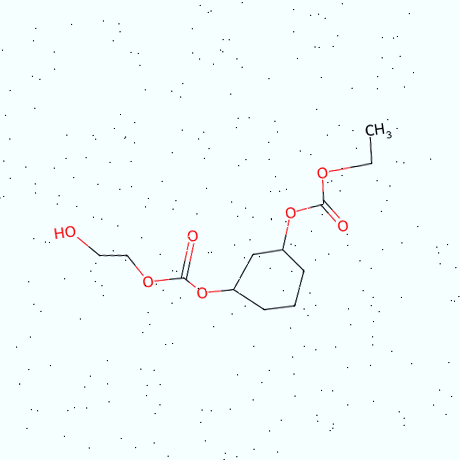 CCOC(=O)OC1CCCC(OC(=O)OCCO)C1